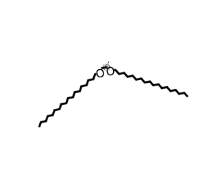 CCCCCCCCCCCCCCCCCCOC[C@H](C)OCCCCCCCCCCCCCCCCCC